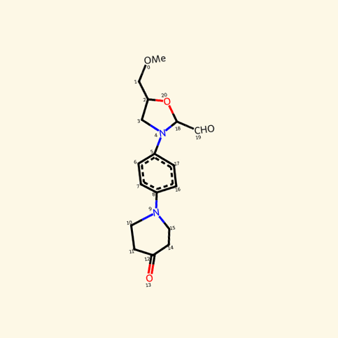 COCC1CN(c2ccc(N3CCC(=O)CC3)cc2)C(C=O)O1